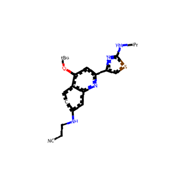 CC(C)Nc1nc(-c2cc(OC(C)(C)C)c3ccc(NCCC#N)cc3n2)cs1